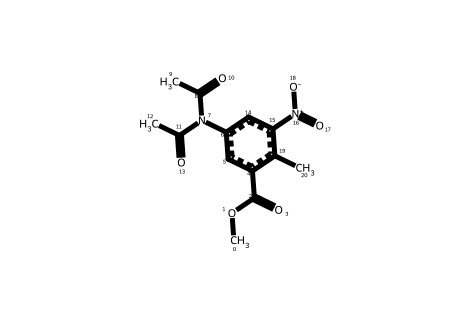 COC(=O)c1cc(N(C(C)=O)C(C)=O)cc([N+](=O)[O-])c1C